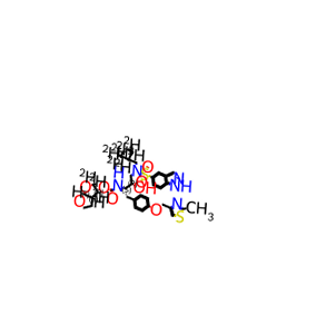 [2H]C([2H])([2H])C([2H])(CN(C[C@@H](O)[C@H](Cc1ccc(OCc2csc(C)n2)cc1)NC(=O)O[C@]1([2H])[C@@H]2CCO[C@@H]2OC1([2H])[2H])S(=O)(=O)c1ccc2[nH]ncc2c1)C([2H])([2H])[2H]